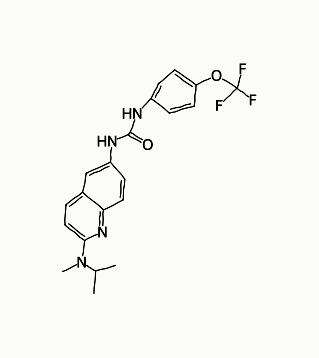 CC(C)N(C)c1ccc2cc(NC(=O)Nc3ccc(OC(F)(F)F)cc3)ccc2n1